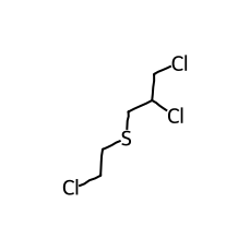 ClCCSCC(Cl)CCl